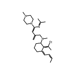 C=C(/C=C(\N=C(C)C)N1CCN(C)CC1)CN(C)C1CCCC(=C/C=C\C)/C1=C(\C)CC